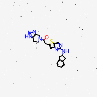 O=C(Cc1cc2nc(NC3Cc4ccccc4C3)ncc2s1)N1CCc2[nH]nnc2C1